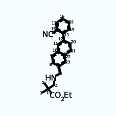 CCOC(=O)C(C)(C)CNCc1ccc2cc(-c3ccccc3C#N)ccc2c1